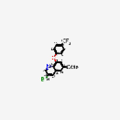 COc1cc(Oc2ccc(C(F)(F)F)cc2)c2ncc(Br)cc2c1